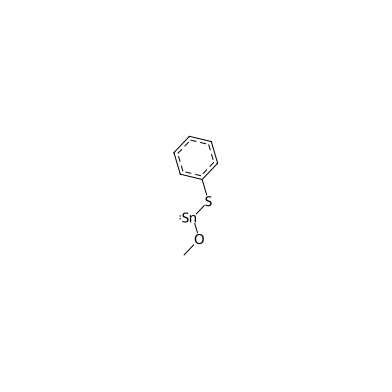 C[O][Sn][S]c1ccccc1